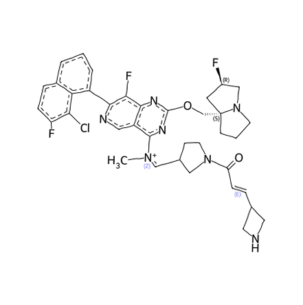 C/[N+](=C/C1CCN(C(=O)/C=C/C2CNC2)C1)c1nc(OC[C@@]23CCCN2C[C@H](F)C3)nc2c(F)c(-c3cccc4ccc(F)c(Cl)c34)ncc12